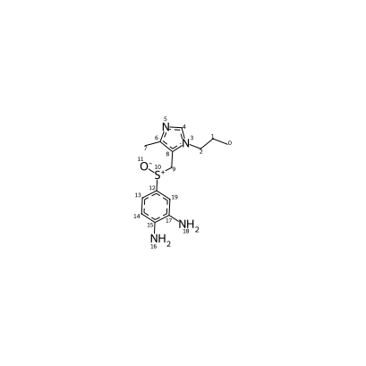 CCCn1cnc(C)c1C[S+]([O-])c1ccc(N)c(N)c1